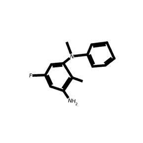 Cc1c(N)cc(F)cc1N(C)c1ccccc1